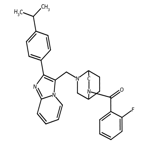 CC(C)c1ccc(-c2nc3ccccn3c2CN2CC3CCC2CN3C(=O)c2ccccc2F)cc1